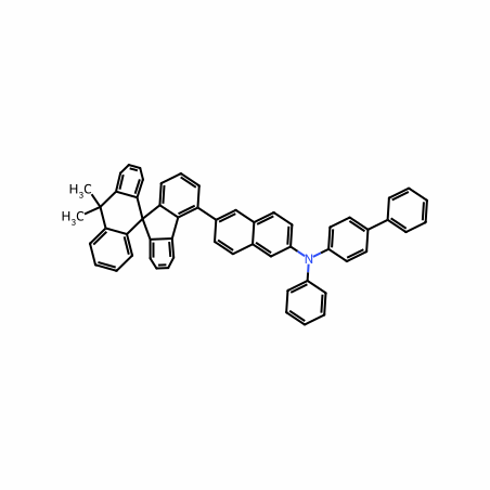 CC1(C)c2ccccc2C2(c3ccccc3-c3c(-c4ccc5cc(N(c6ccccc6)c6ccc(-c7ccccc7)cc6)ccc5c4)cccc32)c2ccccc21